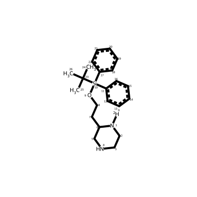 [2H]N1CCNCC1CCO[Si](c1ccccc1)(c1ccccc1)C(C)(C)C